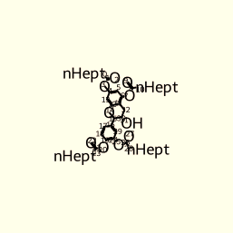 CCCCCCCC(=O)Oc1cc(OC(=O)CCCCCCC)c2c(c1)OC(c1ccc(OC(=O)CCCCCCC)c(OC(=O)CCCCCCC)c1)C(O)C2